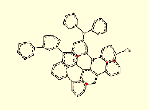 CC(C)(C)c1ccc(N(c2cc(N(c3ccccc3)c3ccccc3)cc(N(c3cccc(-c4ccccc4)c3)c3cccc(-c4ccccc4)c3)c2Cl)c2c(-c3ccccc3)cccc2-c2ccccc2)cc1